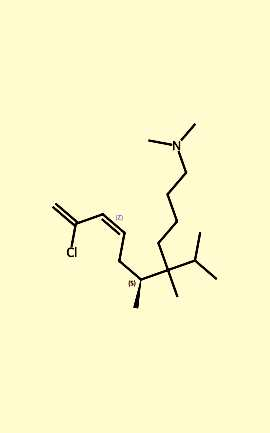 C=C(Cl)/C=C\C[C@H](C)C(C)(CCCCN(C)C)C(C)C